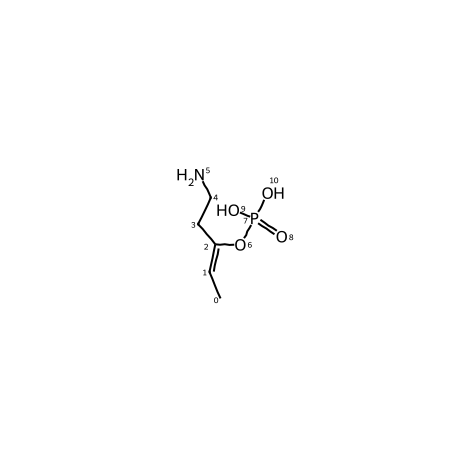 CC=C(CCN)OP(=O)(O)O